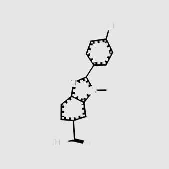 Cn1c(-c2ccc(Cl)cc2)nc2ccc(C(=O)O)cc21